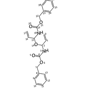 C=CC(NC(=O)OCc1ccccc1)OC(C=C)NC(=O)OCc1ccccc1